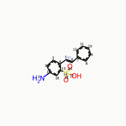 Nc1ccc(/C=C/c2ccccc2)c(S(=O)(=O)O)c1